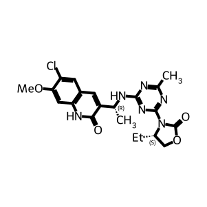 CC[C@H]1COC(=O)N1c1nc(C)nc(N[C@H](C)c2cc3cc(Cl)c(OC)cc3[nH]c2=O)n1